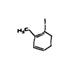 CC1=C(I)CCC=C1